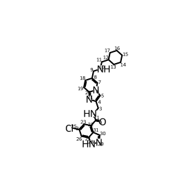 O=C(NCc1cn2cc(CNCC3CCCCC3)ccc2n1)c1cc(Cl)cc2[nH]ncc12